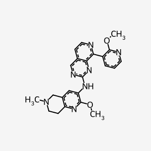 COc1nc2c(cc1Nc1ncc3ccnc(-c4cccnc4OC)c3n1)CN(C)CC2